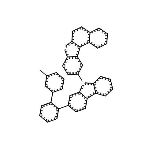 Brc1cccc(-c2ccccc2-c2ccc3c4ccccc4n(-c4ccc5sc6ccc7ccccc7c6c5c4)c3c2)c1